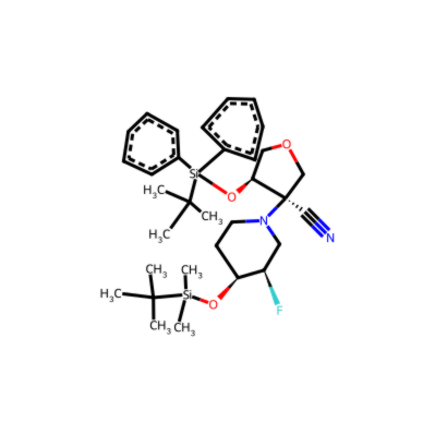 CC(C)(C)[Si](C)(C)O[C@H]1CCN([C@]2(C#N)COC[C@@H]2O[Si](c2ccccc2)(c2ccccc2)C(C)(C)C)C[C@H]1F